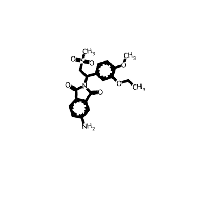 CCOc1cc(C(CS(C)(=O)=O)N2C(=O)c3ccc(N)cc3C2=O)ccc1OC